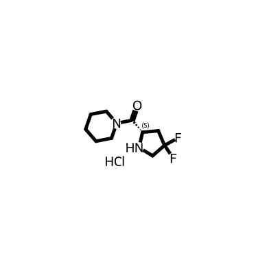 Cl.O=C([C@@H]1CC(F)(F)CN1)N1CCCCC1